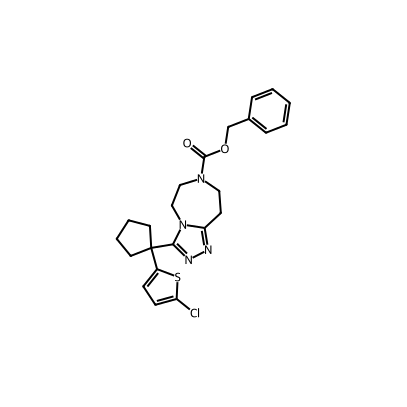 O=C(OCc1ccccc1)N1CCc2nnc(C3(c4ccc(Cl)s4)CCCC3)n2CC1